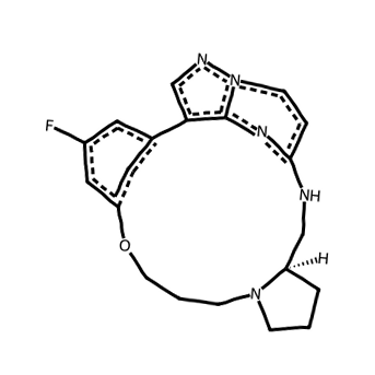 Fc1cc2cc(c1)-c1cnn3ccc(nc13)NC[C@H]1CCCN1CCCO2